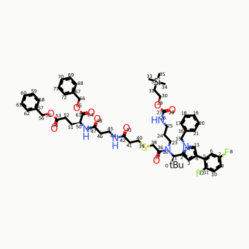 CC(C)(C)[C@H](c1cc(-c2cc(F)ccc2F)cn1Cc1ccccc1)N(CCCNC(=O)OCC[Si](C)(C)C)C(=O)CSCCC(=O)NCCC(=O)N[C@@H](CCC(=O)OCc1ccccc1)C(=O)OCc1ccccc1